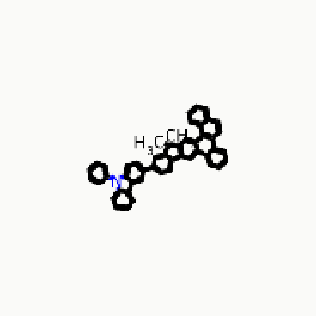 CC1(C)c2cc(-c3ccc4c(c3)c3ccccc3n4-c3ccccc3)ccc2-c2cc3c4ccccc4c4ccc5ccccc5c4c3cc21